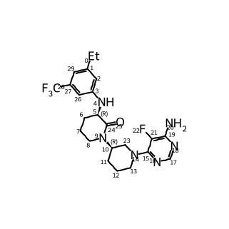 CCc1cc(N[C@@H]2CCCN([C@@H]3CCCN(c4ncnc(N)c4F)C3)C2=O)cc(C(F)(F)F)c1